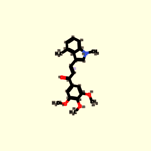 COc1cc(C(=O)/C=C/c2cn(C)c3cccc(C)c23)cc(OC)c1OC